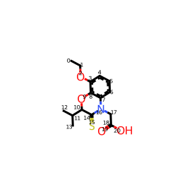 CCOc1cccc2c1OC(C(C)C)C(=S)N2CC(=O)O